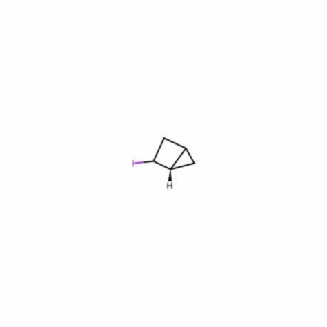 IC1CC2C[C@H]12